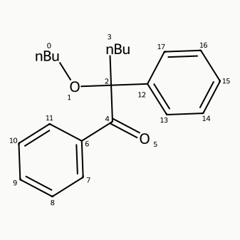 CCCCOC(CCCC)(C(=O)c1ccccc1)c1ccccc1